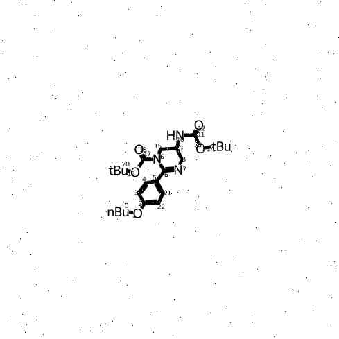 CCCCOc1ccc(C2=NCC(NC(=O)OC(C)(C)C)CN2C(=O)OC(C)(C)C)cc1